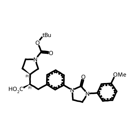 COc1cccc(N2CCN(c3cccc(C[C@@H](C(=O)O)[C@H]4CCN(C(=O)OC(C)(C)C)C4)c3)C2=O)c1